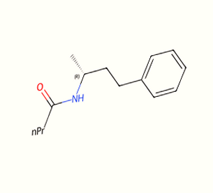 CCCC(=O)N[C@H](C)CCc1ccccc1